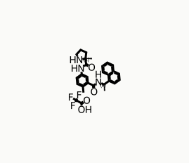 Cc1ccc(NC(=O)[C@@]2(C)CCCN2)cc1C(=O)N[C@H](C)c1cccc2ccccc12.O=C(O)C(F)(F)F